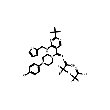 CC(C)(C)c1ncc(C(=O)N2CCN(c3ccc(Cl)cc3)CC2)c(NCc2ccco2)n1.O=C(O)C(F)(F)F.O=C(O)C(F)(F)F